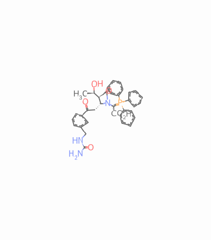 C[C@@H](O)[C@H]1C(=O)N(C(C(=O)O)=P(c2ccccc2)(c2ccccc2)c2ccccc2)[C@@H]1CC(=O)c1cccc(CNC(N)=O)c1